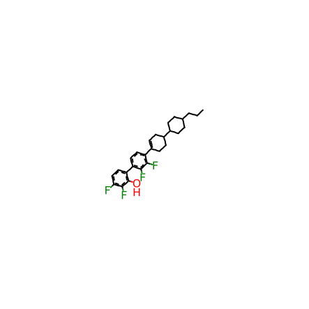 CCCC1CCC(C2CC=C(c3ccc(-c4ccc(F)c(F)c4O)c(F)c3F)CC2)CC1